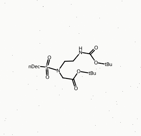 CCCCCCCCCCS(=O)(=O)N(CCNC(=O)OC(C)(C)C)CC(=O)OC(C)(C)C